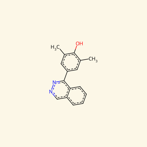 Cc1cc(-c2nncc3ccccc23)cc(C)c1O